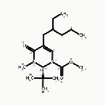 CCCC(CC)CC1=CN(C(=O)OC)[C@@H](C(C)(C)C)N(C)C1=O